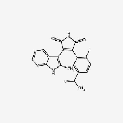 CC(=O)c1ccc(F)c(C2=C(c3c(C)[nH]c4ccccc34)C(=O)NC2=O)c1